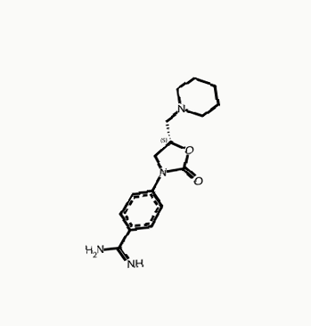 N=C(N)c1ccc(N2C[C@H](CN3CCCCC3)OC2=O)cc1